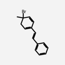 CC1(Br)C=CC(C=Cc2ccccc2)=CC1